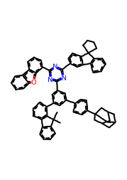 CC1(C)c2ccccc2-c2cccc(-c3cc(-c4ccc(C56CC7CC(CC(C7)C5)C6)cc4)cc(-c4nc(-c5ccc6c(c5)-c5ccccc5C65CCCC5)nc(-c5cccc6c5oc5ccccc56)n4)c3)c21